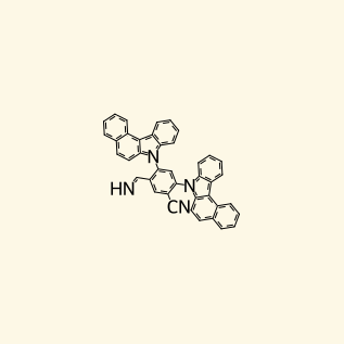 N#Cc1cc(C=N)c(-n2c3ccccc3c3c4ccccc4ccc32)cc1-n1c2ccccc2c2c3ccccc3ccc21